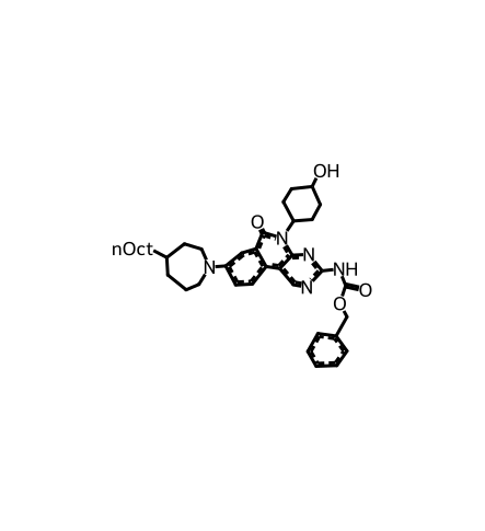 CCCCCCCCC1CCCN(c2ccc3c(c2)c(=O)n(C2CCC(O)CC2)c2nc(NC(=O)OCc4ccccc4)ncc32)CC1